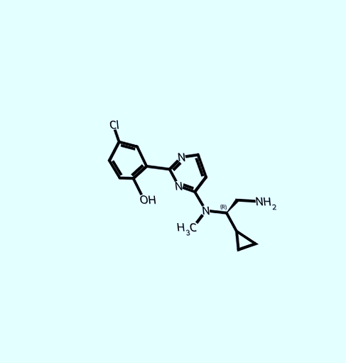 CN(c1ccnc(-c2cc(Cl)ccc2O)n1)[C@@H](CN)C1CC1